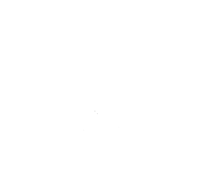 CCCCC(CC)CON=C(C(=O)[O-])C(=O)[O-].[Cu+2]